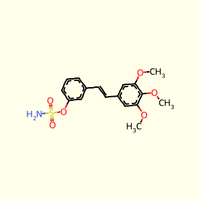 COc1cc(/C=C/c2cccc(OS(N)(=O)=O)c2)cc(OC)c1OC